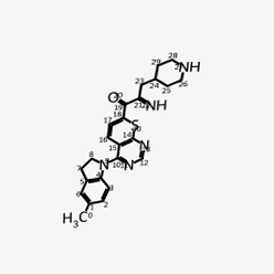 Cc1ccc2c(c1)CCN2c1ncnc2c1C=C=C(C(=O)C(=N)CC1CCNCC1)S2